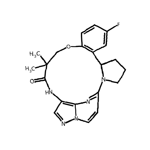 CC1(C)COc2ccc(F)cc2C2CCCN2c2ccn3ncc(c3n2)NC1=O